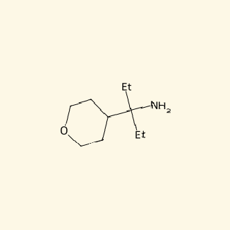 CCC(N)(CC)C1CCOCC1